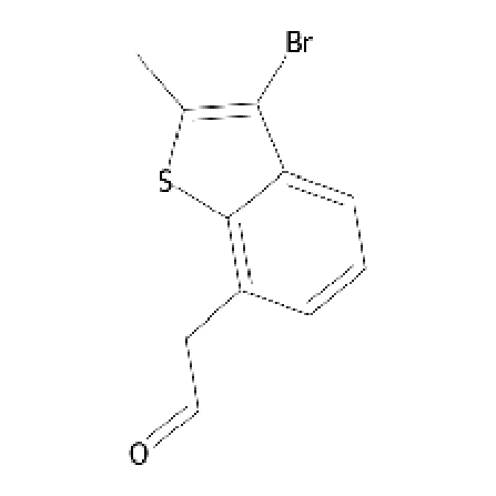 Cc1sc2c(CC=O)cccc2c1Br